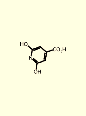 O=C(O)c1cc(O)nc(O)c1